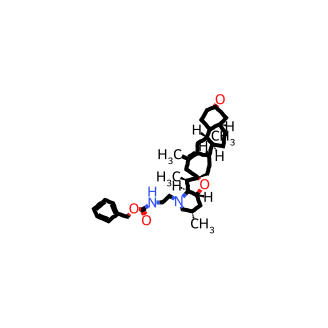 CC1=C2C[C@H]3[C@@H](CC[C@@H]4CC(=O)CC[C@@]43C)[C@@H]2CC[C@@]2(C1)O[C@@H]1C[C@H](C)CN(CCNC(=O)OCc3ccccc3)[C@H]1[C@H]2C